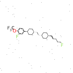 FCCCC=C[C@H]1CC[C@H](CC[C@H]2CC[C@H](c3ccc(OC(F)(F)F)c(F)c3)CC2)CC1